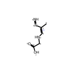 C/C(=C/NCC(=O)O)N=N